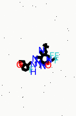 CC(C)(C)c1cc2c(cn1)-c1cnc(NCc3c(F)ccc4c3CCO4)n3cnc(c13)C(=O)N(CC(F)(F)F)C2